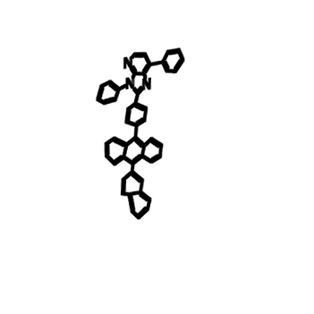 c1ccc(-c2ccnc3c2nc(-c2ccc(-c4c5ccccc5c(-c5ccc6ccccc6c5)c5ccccc45)cc2)n3-c2ccccc2)cc1